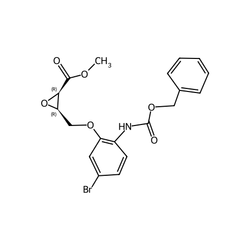 COC(=O)[C@@H]1O[C@@H]1COc1cc(Br)ccc1NC(=O)OCc1ccccc1